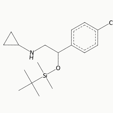 CC(C)(C)[Si](C)(C)OC(CNC1CC1)c1ccc(Cl)cc1